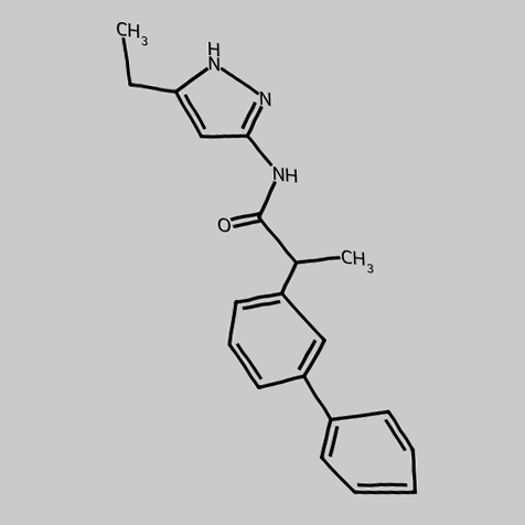 CCc1cc(NC(=O)C(C)c2cccc(-c3ccccc3)c2)n[nH]1